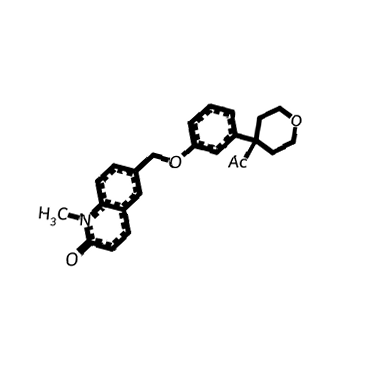 CC(=O)C1(c2cccc(OCc3ccc4c(ccc(=O)n4C)c3)c2)CCOCC1